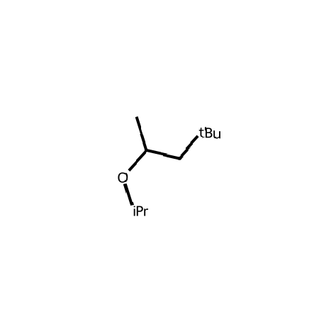 CC(C)OC(C)CC(C)(C)C